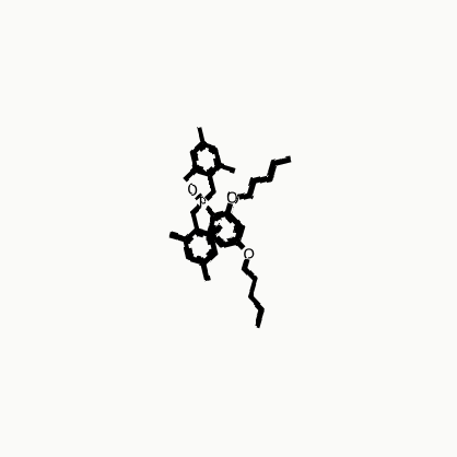 CCCCCOc1ccc(P(=O)(Cc2c(C)cc(C)cc2C)Cc2c(C)cc(C)cc2C)c(OCCCCC)c1